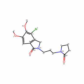 COc1cc2c(c(Br)c1OC)CN(CCCN1CCCC1=O)C2=O